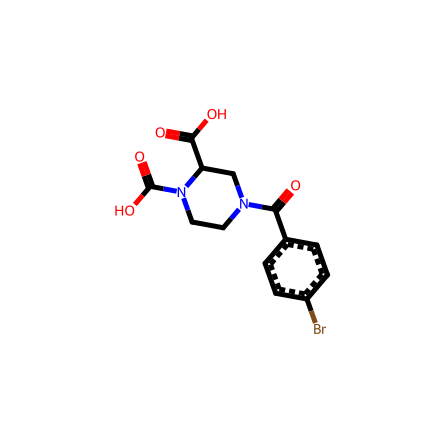 O=C(O)C1CN(C(=O)c2ccc(Br)cc2)CCN1C(=O)O